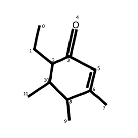 CCC1C(=O)C=C(C)C(C)C1C